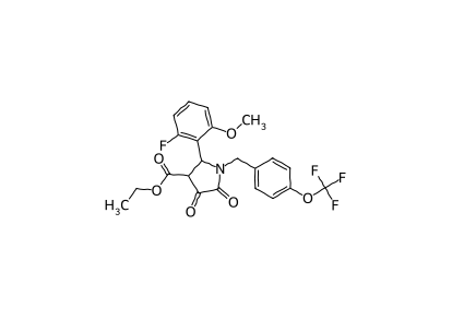 CCOC(=O)C1C(=O)C(=O)N(Cc2ccc(OC(F)(F)F)cc2)C1c1c(F)cccc1OC